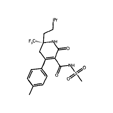 Cc1ccc(C2=C(C(=O)NS(C)(=O)=O)C(=O)N[C@@](CCC(C)C)(C(F)(F)F)C2)cc1